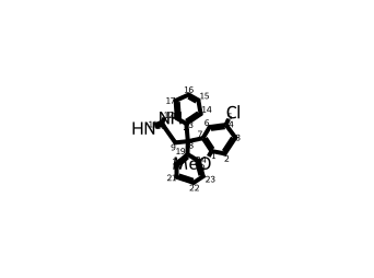 COc1ccc(Cl)cc1C(CC(=N)N)(c1ccccc1)c1ccccc1